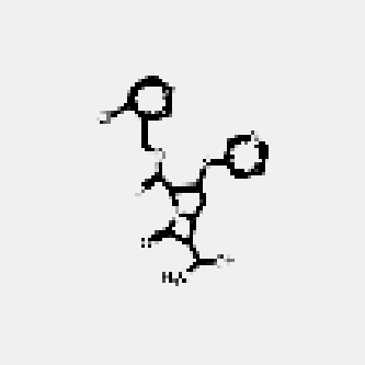 CC(O)C1C(=O)N2C(C(=O)OCc3ccccc3Cl)=C(Sc3cccnc3)CC12